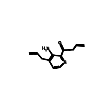 C=CCC(=O)c1nccc(CC=C)c1N